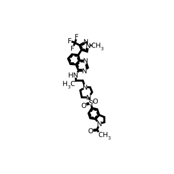 CC(=O)N1CCc2cc(S(=O)(=O)N3CCN(C[C@H](C)Nc4ncnc5c(-c6cn(C)nc6C(F)(F)F)cccc45)CC3)ccc21